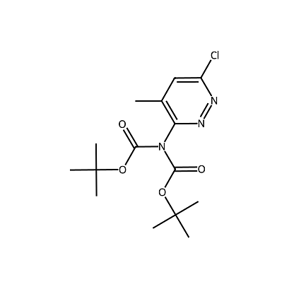 Cc1cc(Cl)nnc1N(C(=O)OC(C)(C)C)C(=O)OC(C)(C)C